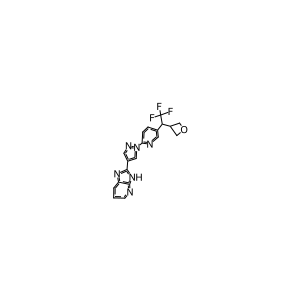 FC(F)(F)C(c1ccc(-n2cc(-c3nc4cccnc4[nH]3)cn2)nc1)C1COC1